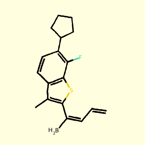 B/C(=C/C=C)c1sc2c(F)c(C3CCCC3)ccc2c1C